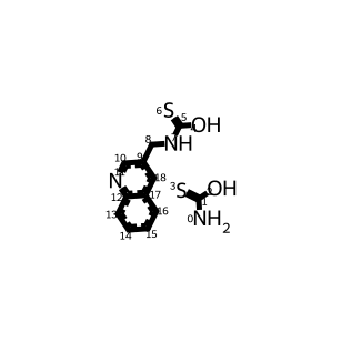 NC(O)=S.OC(=S)NCc1cnc2ccccc2c1